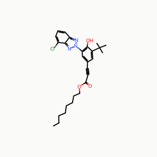 CCCCCCCCOC(=O)C#Cc1cc(-n2nc3cccc(Cl)c3n2)c(O)c(C(C)(C)C)c1